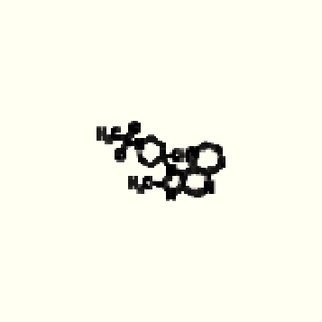 Cc1nc2cnc3cccnc3c2n1C1(C)CCN(S(C)(=O)=O)CC1